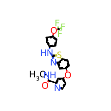 CNC(=O)c1cc(Oc2ccc3sc(Nc4ccc(OC(F)(F)F)cc4)nc3c2)ccn1